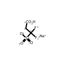 O=C(O)CC(F)(F)S(=O)(=O)[O-].[Na+]